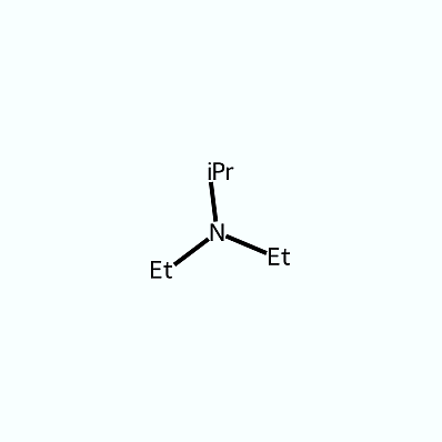 [CH2]C(C)N(CC)CC